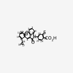 Cc1cccc2c1/C(=C\c1c(Cl)cccc1C1CC1)C(=O)N2c1ccc(C(=O)O)c(F)c1